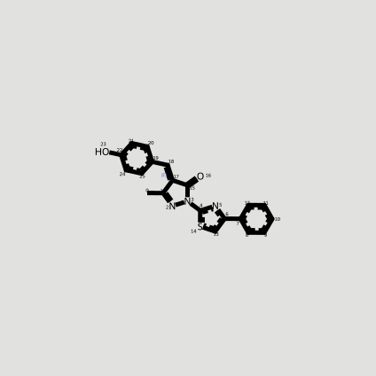 CC1=NN(c2nc(-c3ccccc3)cs2)C(=O)/C1=C/c1ccc(O)cc1